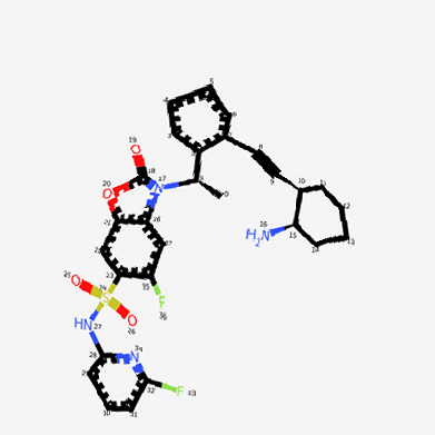 C[C@H](c1ccccc1C#C[C@H]1CCCC[C@H]1N)n1c(=O)oc2cc(S(=O)(=O)Nc3cccc(F)n3)c(F)cc21